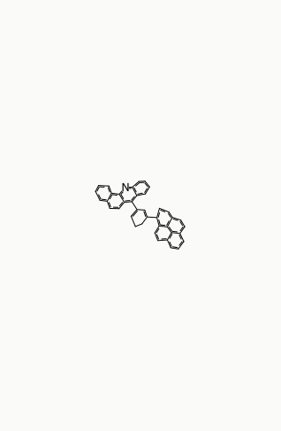 C1=C(c2c3ccccc3nc3c2ccc2ccccc23)C=C(c2ccc3ccc4cccc5ccc2c3c45)CC1